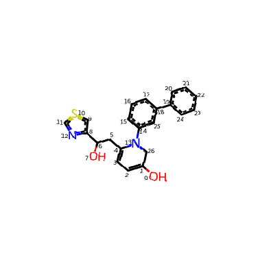 OC1=CC=C(CC(O)c2cscn2)N(c2cccc(-c3ccccc3)c2)C1